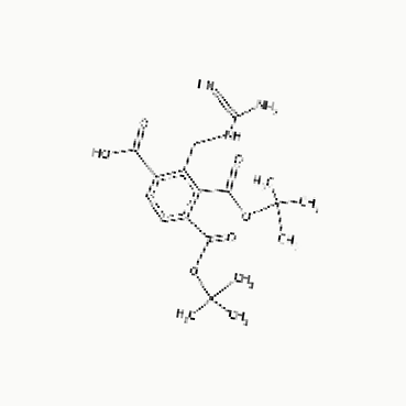 CC(C)(C)OC(=O)c1ccc(C(=O)O)c(CNC(=N)N)c1C(=O)OC(C)(C)C